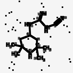 CC1(C)CC(NC(=N)NC#N)CC(C)(C)N1